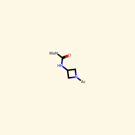 CNC(=O)NC1CN(C(C)=O)C1